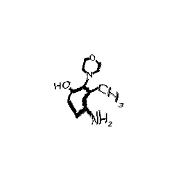 Cc1c(N)ccc(O)c1N1CCOCC1